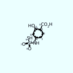 O=C(O)c1ccc(NS(=O)(=O)S)cc1O